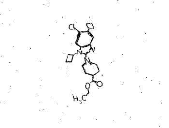 CCOC(=O)C1CCN(c2nc3cc(Cl)c(Cl)cc3n2C2CCC2)CC1